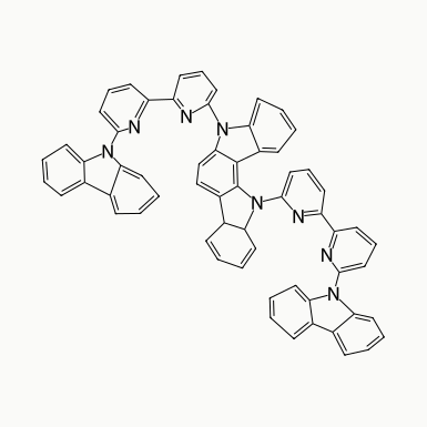 C1=CC2c3ccc4c(c3N(c3cccc(-c5cccc(-n6c7ccccc7c7ccccc76)n5)n3)C2C=C1)c1ccccc1n4-c1cccc(-c2cccc(-n3c4ccccc4c4ccccc43)n2)n1